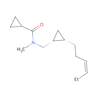 CC/C=C\CC[C@H]1C[C@H]1CN(C)C(=O)C1CC1